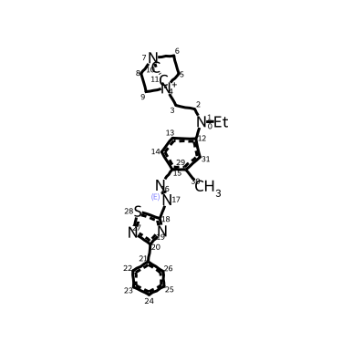 CCN(CC[N+]12CCN(CC1)CC2)c1ccc(/N=N/c2nc(-c3ccccc3)ns2)c(C)c1